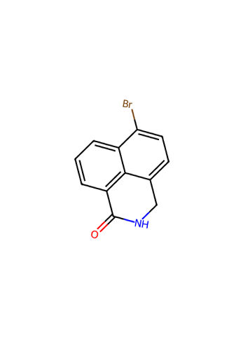 O=C1NCc2ccc(Br)c3cccc1c23